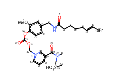 COc1cc(CNC(=O)CCCCC=CC(C)C)ccc1OC(=O)OC[n+]1cccc(C(=O)N(C)C)c1.CS(=O)(=O)O